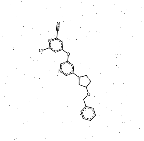 N#Cc1cc(Oc2cncc(N3CCC(OCc4ccccc4)C3)c2)cc(Cl)n1